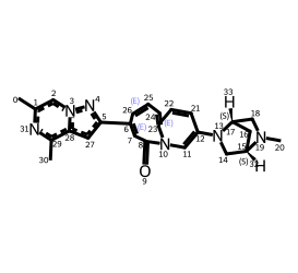 Cc1cn2nc(C3=C\C(=O)N4C=C(N5C[C@@H]6C[C@H]5CN6C)C=C\C4=C/C=C/3)cc2c(C)n1